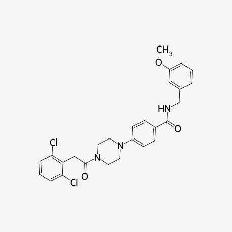 COc1cccc(CNC(=O)c2ccc(N3CCN(C(=O)Cc4c(Cl)cccc4Cl)CC3)cc2)c1